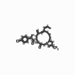 C=C1/C=C(\C=C/C)CCCC2CC(C(F)(F)F)=NN2CC(=O)N[C@H](C(=O)N(C)c2ccc(Cl)cc2)C1